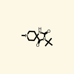 CN1CCC2(CC1)NC(=O)N(C(C)(C)C)C2=O